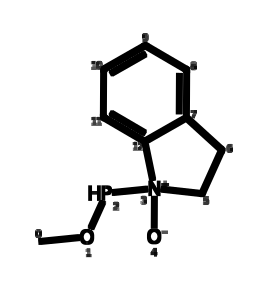 COP[N+]1([O-])CCc2ccccc21